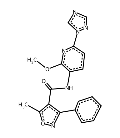 COc1nc(-n2cncn2)ccc1NC(=O)c1c(-c2ccccc2)noc1C